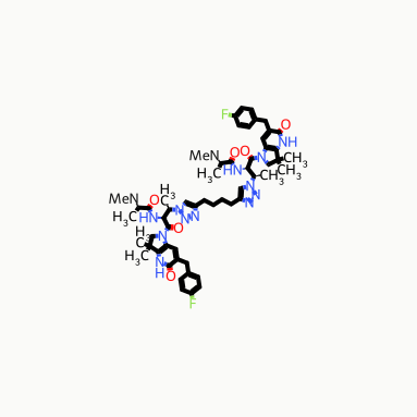 CN[C@@H](C)C(=O)N[C@H](C(=O)N1CC(C)(C)c2[nH]c(=O)c(Cc3ccc(F)cc3)cc21)[C@H](C)n1cc(CCCCc2cn([C@@H](C)[C@H](NC(=O)[C@H](C)NC)C(=O)N3CC(C)(C)c4[nH]c(=O)c(Cc5ccc(F)cc5)cc43)nn2)nn1